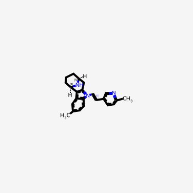 Cc1ccc2c(c1)c1c(n2/C=C/c2ccc(C)nc2)C[C@@H]2CCC[C@H]1N2